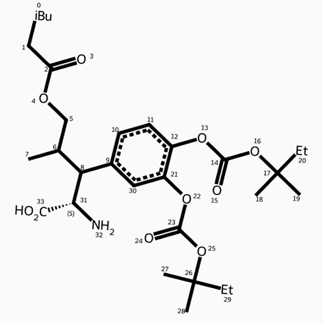 CCC(C)CC(=O)OCC(C)C(c1ccc(OC(=O)OC(C)(C)CC)c(OC(=O)OC(C)(C)CC)c1)[C@H](N)C(=O)O